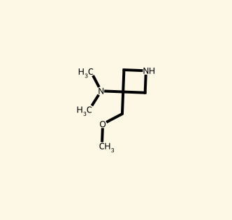 COCC1(N(C)C)CNC1